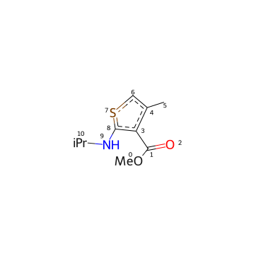 COC(=O)c1c(C)csc1NC(C)C